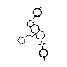 CC(C)(C)c1ccc(S(=O)(=O)N2CCC3=Cc4c(cnn4-c4ccc(F)cc4)CC3(CCN3CCCC3)C2)cc1